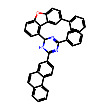 c1ccc(C2=NC(c3cccc4oc5ccc(-c6ccccc6)cc5c34)NC(c3ccc4c(ccc5ccccc54)c3)=N2)cc1